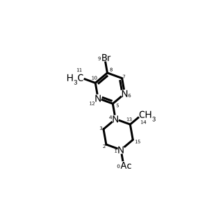 CC(=O)N1CCN(c2ncc(Br)c(C)n2)C(C)C1